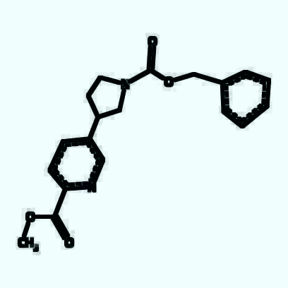 COC(=O)c1ccc(C2CCN(C(=O)OCc3ccccc3)C2)cn1